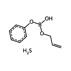 C=CCOB(O)Oc1ccccc1.S